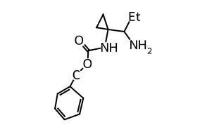 CCC(N)C1(NC(=O)OCc2ccccc2)CC1